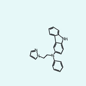 c1ccc(N(CCn2cccn2)c2ccc3[nH]c4ccccc4c3c2)cc1